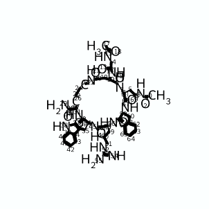 CC(=O)NCC[C@@H]1NC(=O)C(NC(=O)CNC(C)=O)CC(=O)NCCCCC(C(N)=O)NC(=O)[C@H](Cc2c[nH]c3ccccc23)NC(=O)[C@H](CCCNC(=N)N)NC(=O)C(Cc2ccccc2)NC1=O